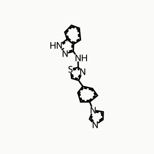 c1ccc2c(Nc3nc(-c4ccc(-n5ccnc5)cc4)cs3)n[nH]c2c1